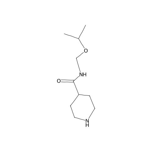 CC(C)OCNC(=O)C1CCNCC1